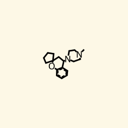 CN1CCN(C2CC3(CCCC3)Oc3ccccc32)CC1